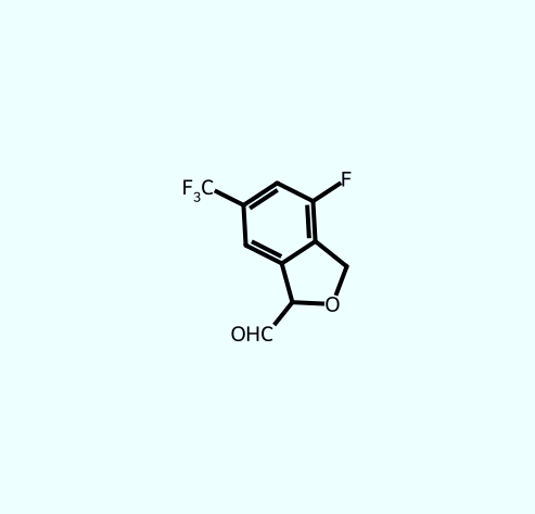 O=CC1OCc2c(F)cc(C(F)(F)F)cc21